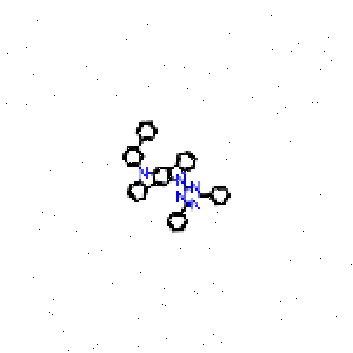 c1ccc(-c2cccc(-n3c4ccccc4c4cc5c(cc43)c3ccccc3n5-c3nc(-c4ccccc4)nc(-c4ccccc4)n3)c2)cc1